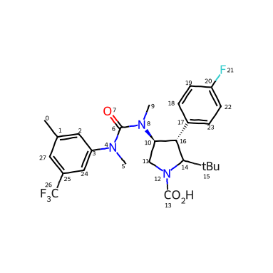 Cc1cc(N(C)C(=O)N(C)[C@@H]2CN(C(=O)O)C(C(C)(C)C)[C@H]2c2ccc(F)cc2)cc(C(F)(F)F)c1